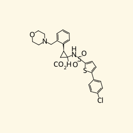 O=C(O)C1(NS(=O)(=O)c2ccc(-c3ccc(Cl)cc3)s2)C[C@H]1c1ccccc1CN1CCOCC1